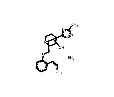 B.C/C=C\c1ccccc1OCC1C(O)C2(c3nc(C)no3)CCN1CC2